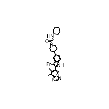 Cc1c(-c2[nH]c3ccc(C4CCN(C(=O)CNC5CCCCC5)CC4)cc3c2C(C)C)cn2ncnc2c1C